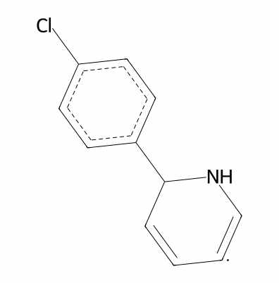 Clc1ccc(C2C=C[C]=CN2)cc1